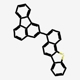 c1ccc2c(c1)-c1cccc3cc(-c4cccc5c4ccc4c6ccccc6sc54)cc-2c13